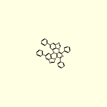 c1ccc(-c2cc3c4c(c2)ncn4-c2c(-c4ccccc4)nc(-c4ccccc4)c4c2B3c2cc(-c3ccccc3)cc3ncn-4c23)cc1